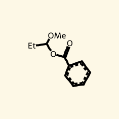 CCC(OC)OC(=O)c1ccccc1